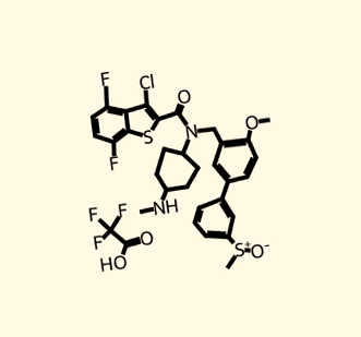 CNC1CCC(N(Cc2cc(-c3cccc([S+](C)[O-])c3)ccc2OC)C(=O)c2sc3c(F)ccc(F)c3c2Cl)CC1.O=C(O)C(F)(F)F